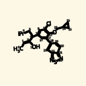 CC=C(O)C(CC(C)C)c1cc(Cl)c(OCC2CC2)c(-c2ccc3nsnc3c2)c1